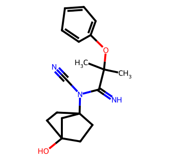 CC(C)(Oc1ccccc1)C(=N)N(C#N)C12CCC(O)(CC1)C2